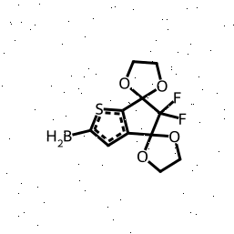 Bc1cc2c(s1)C1(OCCO1)C(F)(F)C21OCCO1